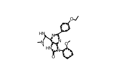 CCOc1ccc(-c2nc(C(=N)N(C)C)c3[nH]c(=O)n(-c4ccccc4OC)c3n2)cc1